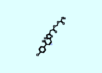 CC(C)(C)C(=O)OCOC(=O)Cc1c[nH]c(/C=C\C(=N)c2ccc(Cl)cc2)n1